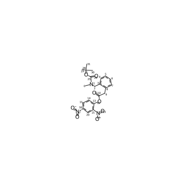 CN(Cc1ccccc1CC(=O)Oc1ccc([N+](=O)[O-])cc1[N+](=O)[O-])C(=O)OC(C)(C)C